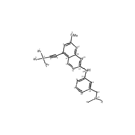 COc1cc(C#C[Si](C(C)C)(C(C)C)C(C)C)c2cnc(Nc3cccc(CN(C)C)c3)nc2n1